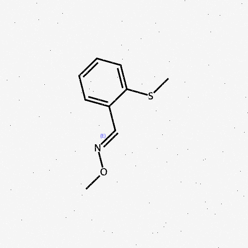 CO/N=C/c1ccccc1SC